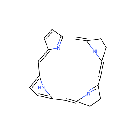 C1=Cc2cc3ccc(cc4nc(cc5[nH]c(cc1n2)CC5)CC4)[nH]3